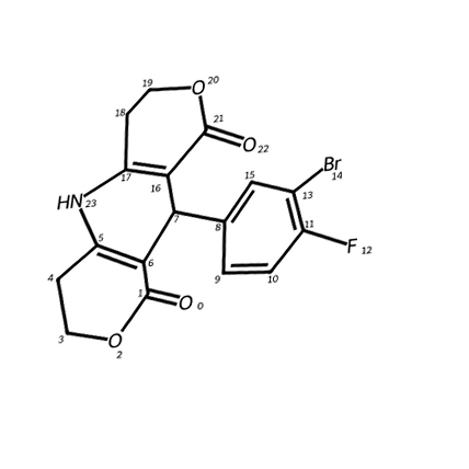 O=C1OCCC2=C1C(c1ccc(F)c(Br)c1)C1=C(CCOC1=O)N2